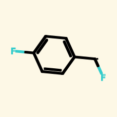 F[CH]c1ccc(F)cc1